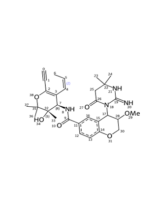 C#CC1=C(/C=C\C)[C@@H](NC(=O)c2ccc3c(c2)C(N2C(=N)NC(C)(C)CC2=O)C(OC)CO3)[C@](C)(O)C(C)(C)O1